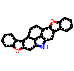 c1ccc2c(c1)oc1c2cc2[nH]c3cc4oc5ccccc5c4c4ccc1c2c34